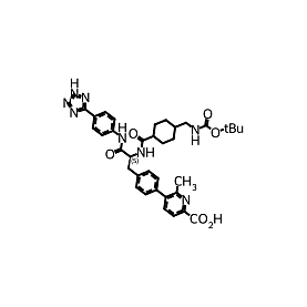 Cc1nc(C(=O)O)ccc1-c1ccc(C[C@H](NC(=O)C2CCC(CNC(=O)OC(C)(C)C)CC2)C(=O)Nc2ccc(-c3nn[nH]n3)cc2)cc1